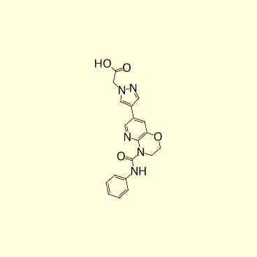 O=C(O)Cn1cc(-c2cnc3c(c2)OCCN3C(=O)Nc2ccccc2)cn1